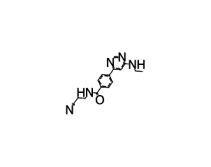 CCNc1cc(-c2ccc(C(=O)NCCC#N)cc2)ncn1